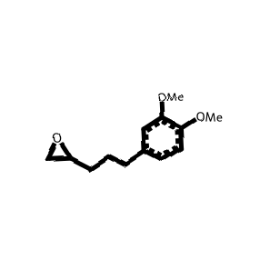 COc1ccc(CCCC2CO2)cc1OC